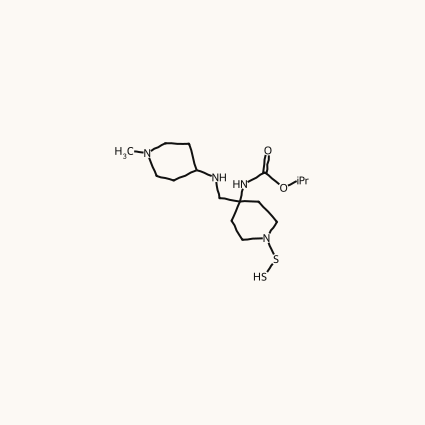 CC(C)OC(=O)NC1(CNC2CCN(C)CC2)CCN(SS)CC1